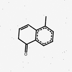 Cc1cccc2c1C=CCC2=O